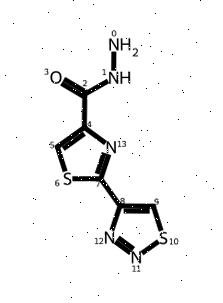 NNC(=O)c1csc(-c2csnn2)n1